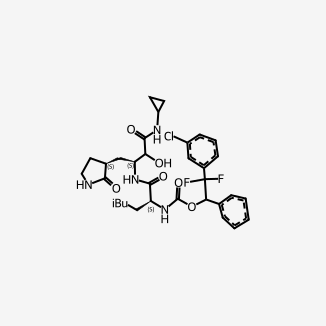 CCC(C)C[C@H](NC(=O)OC(c1ccccc1)C(F)(F)c1cccc(Cl)c1)C(=O)N[C@@H](C[C@@H]1CCNC1=O)C(O)C(=O)NC1CC1